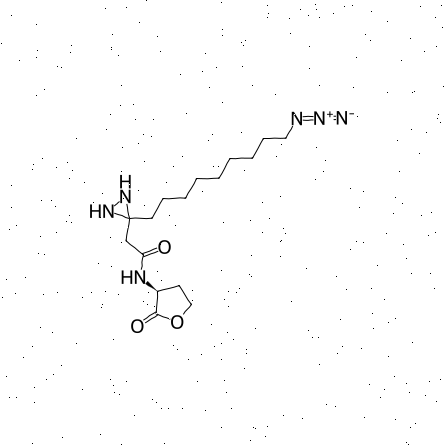 [N-]=[N+]=NCCCCCCCCCC1(CC(=O)N[C@H]2CCOC2=O)NN1